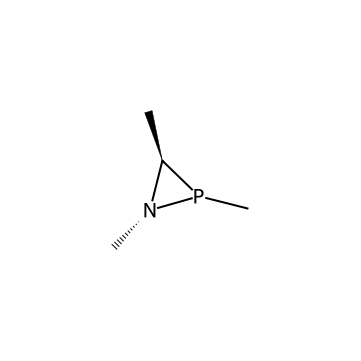 C[C@@H]1[N@@](C)P1C